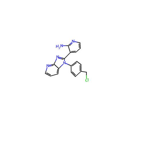 Nc1ncccc1-c1nc2ncccc2n1-c1ccc(CCl)cc1